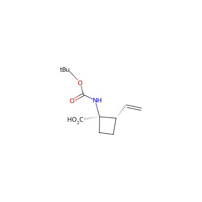 C=C[C@@H]1CC[C@]1(NC(=O)OC(C)(C)C)C(=O)O